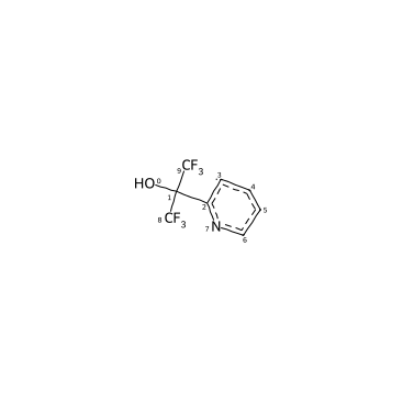 OC(c1[c]cccn1)(C(F)(F)F)C(F)(F)F